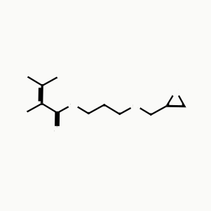 CC(C)=C(C)C(=O)OCCCOCC1CO1